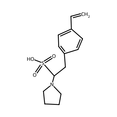 C=Cc1ccc(CC(N2CCCC2)S(=O)(=O)O)cc1